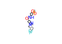 CCS(=O)(=O)c1ccc(CNC(=O)c2ccc3c(c2)nc(C[C@H]2CC[C@@H](C(F)(F)F)CC2)n3C2CC2)cc1